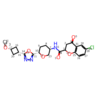 O=C1CC(C(=O)N[C@@H]2CC[C@@H](c3nnc([C@H]4C[C@@H](OC(F)(F)F)C4)o3)OC2)Oc2ccc(Cl)cc21